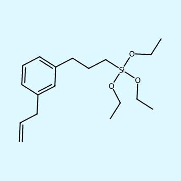 C=CCc1cccc(CCC[Si](OCC)(OCC)OCC)c1